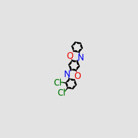 Clc1ccc2c(c1Cl)N=c1cc3c(cc1O2)=Nc1ccccc1O3